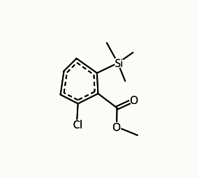 COC(=O)c1c(Cl)cccc1[Si](C)(C)C